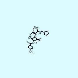 Cc1ccc(C(=O)NC2C(=O)N3C(C(=O)OCc4ccccc4)=C(CCl)COC23)cc1